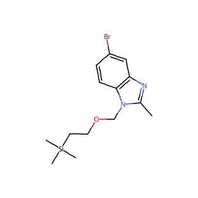 Cc1nc2cc(Br)ccc2n1COCC[Si](C)(C)C